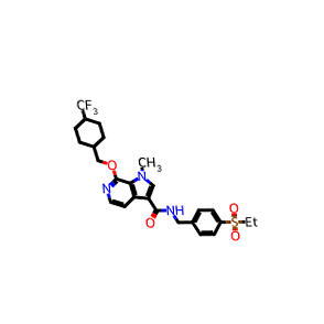 CCS(=O)(=O)c1ccc(CNC(=O)c2cn(C)c3c(OCC4CCC(C(F)(F)F)CC4)nccc23)cc1